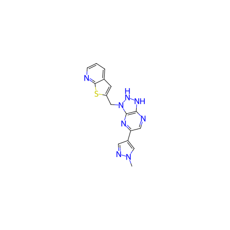 Cn1cc(-c2cnc3c(n2)N(Cc2cc4cccnc4s2)NN3)cn1